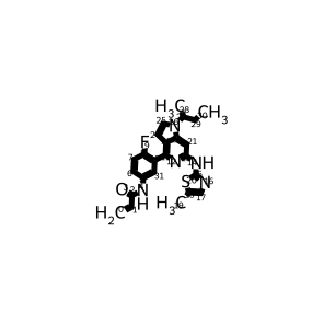 C=CC(=O)Nc1ccc(F)c(-c2nc(Nc3ncc(C)s3)cc3c2ccn3C(C)CC)c1